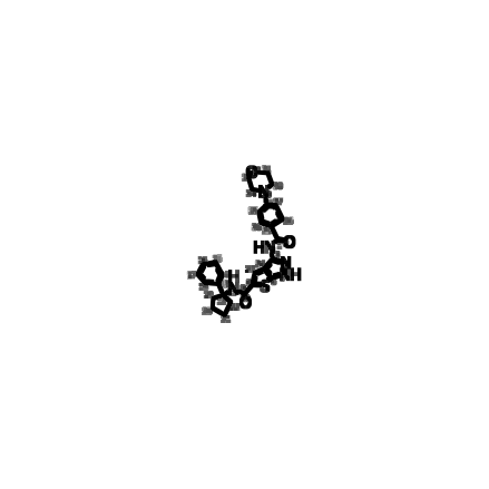 O=C(Nc1n[nH]c2sc(C(=O)NC3(c4ccccc4)CCCC3)cc12)c1ccc(N2CCOCC2)cc1